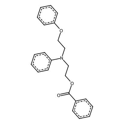 O=C(OCCN(CCOc1ccccc1)c1ccccc1)c1ccccc1